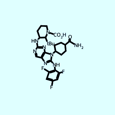 CC(C)(C)C1C(Nc2ncc3nc(Nc4c(F)cc(F)cc4F)n(C4CCC(C(N)=O)CC4)c3n2)CCCN1C(=O)O